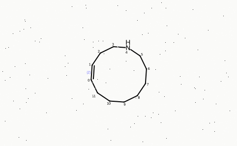 C1=C\CCNCCCCCCC/1